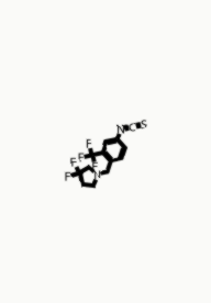 FC1(F)CCN(Cc2ccc(N=C=S)cc2C(F)(F)F)C1